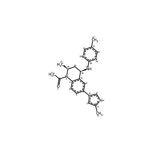 CC(=O)N1c2ccc(-n3cnc(C)c3)cc2[C@H](Nc2ncc(C)cn2)C[C@@H]1C